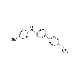 CC(C)(C)c1ccc(Nc2ccc(-c3ccc(OC(F)(F)F)cc3)cc2)cc1